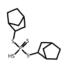 S=P(S)(SC1CC2CCC1C2)SC1CC2CCC1C2